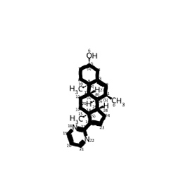 C[C@@H]1C=C2C[C@@H](O)CC[C@]2(C)[C@H]2CC[C@]3(C)C(c4ncccn4)=CC[C@H]3[C@H]12